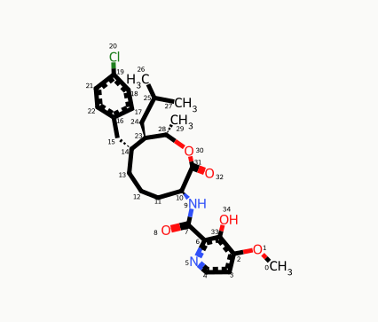 COc1ccnc(C(=O)N[C@H]2CCC[C@H](Cc3ccc(Cl)cc3)[C@@H](CC(C)C)[C@H](C)OC2=O)c1O